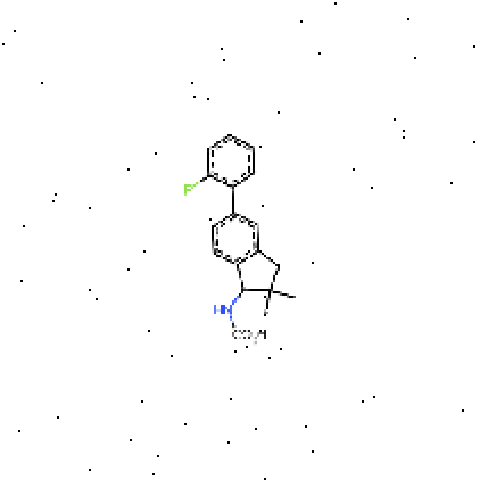 CC1(C)Cc2cc(-c3ccccc3F)ccc2C1NC(=O)O